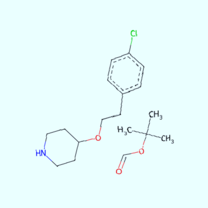 CC(C)(C)OC=O.Clc1ccc(CCOC2CCNCC2)cc1